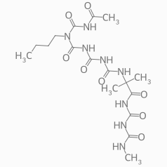 CCCCN(C(=O)NC(C)=O)C(=O)NC(=O)NC(=O)NC(C)(C)C(=O)NC(=O)NC(=O)NC